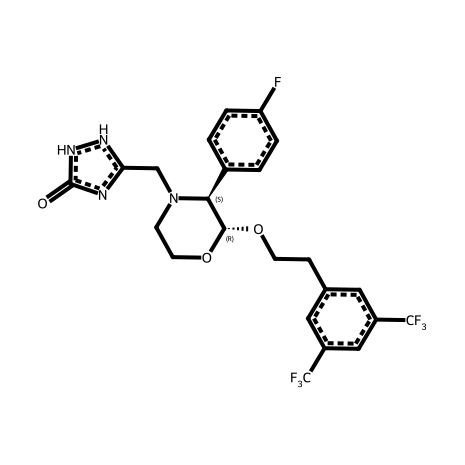 O=c1nc(CN2CCO[C@@H](OCCc3cc(C(F)(F)F)cc(C(F)(F)F)c3)[C@@H]2c2ccc(F)cc2)[nH][nH]1